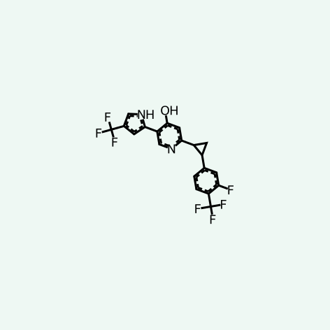 Oc1cc(C2CC2c2ccc(C(F)(F)F)c(F)c2)ncc1-c1cc(C(F)(F)F)c[nH]1